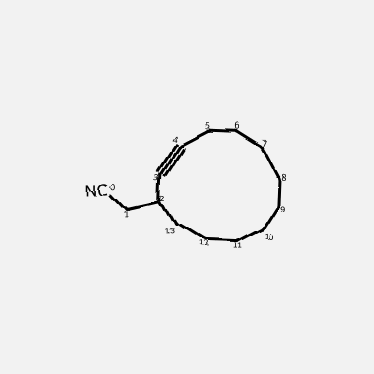 N#CCC1C#CCCCCCCCCC1